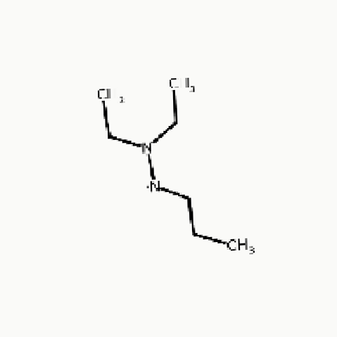 CCC[N]N(CC)CC